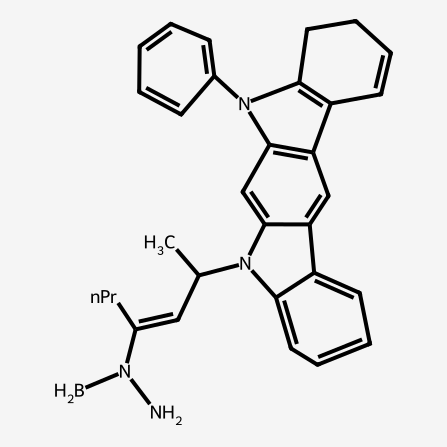 BN(N)/C(=C/C(C)n1c2ccccc2c2cc3c4c(n(-c5ccccc5)c3cc21)CCC=C4)CCC